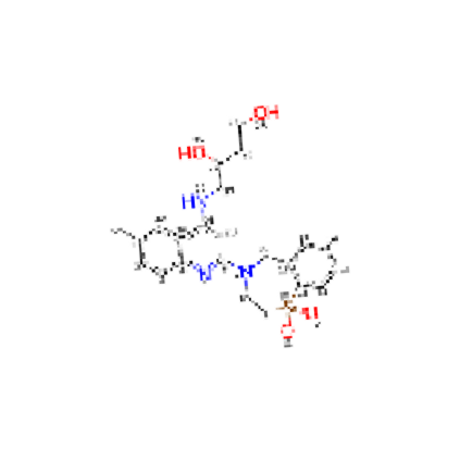 Cc1ccc2nc(N3CCS(=O)(=O)c4ccccc4C3)cc(NCC(O)CCO)c2c1